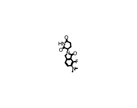 CN(C)c1ccc2c(c1F)C(=O)N(C1CCC(=O)NC1=O)C2